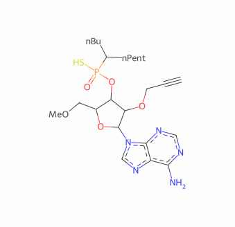 C#CCOC1C(OP(=O)(S)C(CCCC)CCCCC)C(COC)OC1n1cnc2c(N)ncnc21